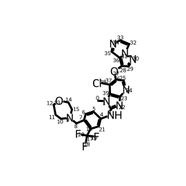 Cn1c(Nc2ccc(CN3CCCOCC3)c(C(F)(F)F)c2)nc2ncc(Oc3cnn4ccncc34)c(Cl)c21